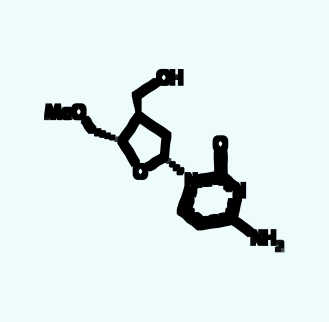 COC[C@H]1O[C@@H](n2ccc(N)nc2=O)C[C@@H]1CO